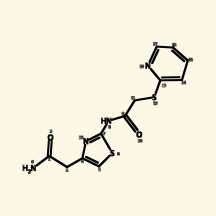 NC(=O)Cc1csc(NC(=O)CSc2ccccn2)n1